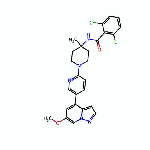 COc1cc(-c2ccc(N3CCC(C)(NC(=O)c4c(F)cccc4Cl)CC3)nc2)c2ccnn2c1